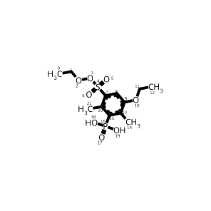 CCOOS(=O)(=O)c1cc(OCC)c(C)c(P(=O)(O)O)c1C